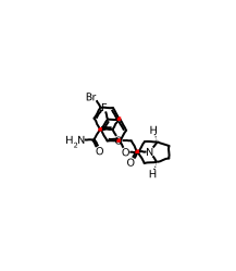 NC(=O)c1cc(Br)ccc1OCC(=O)N1[C@@H]2CC[C@H]1CC(Oc1ccc(F)cc1)C2